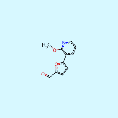 COc1ncccc1-c1ccc(C=O)o1